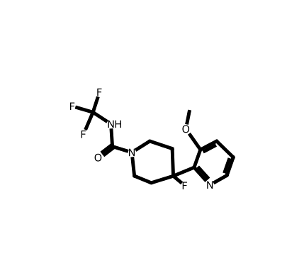 COc1cccnc1C1(F)CCN(C(=O)NC(F)(F)F)CC1